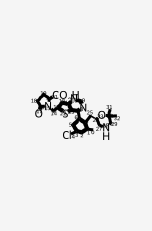 Cc1cc(Cl)cc(-c2ncnc3cc(CN4C(=O)CCC4C(=O)O)sc23)c1C[C@@H]1CNCC(C)(C)O1